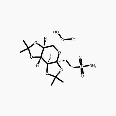 CC1(C)O[C@@H]2[C@@H](CO[C@@]3(COS(N)(=O)=O)OC(C)(C)O[C@@H]23)O1.CCOO